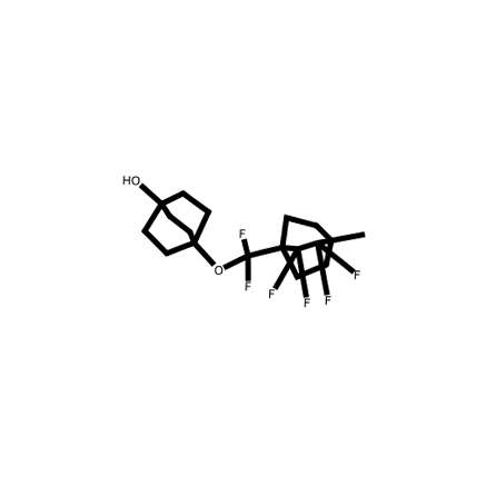 CC12CCC(C(F)(F)OC34CCC(O)(CC3)CC4)(CC1)C(F)(F)C2(F)F